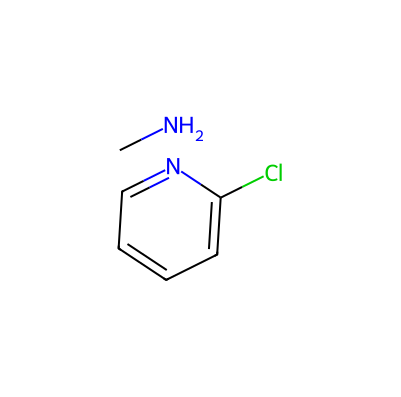 CN.Clc1ccccn1